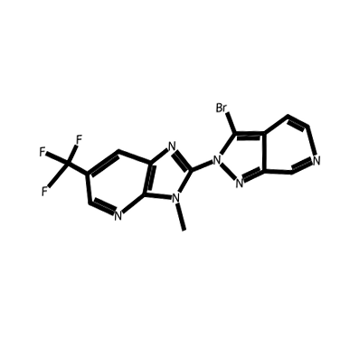 Cn1c(-n2nc3cnccc3c2Br)nc2cc(C(F)(F)F)cnc21